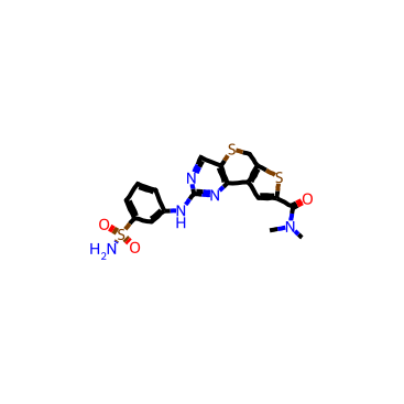 CN(C)C(=O)c1cc2c(s1)CSc1cnc(Nc3cccc(S(N)(=O)=O)c3)nc1-2